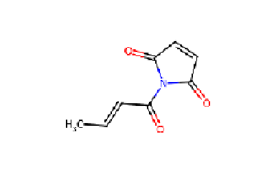 C/C=C/C(=O)N1C(=O)C=CC1=O